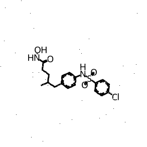 CC(CCC(=O)NO)Cc1ccc(NS(=O)(=O)c2ccc(Cl)cc2)cc1